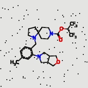 Cc1ccc(CN2CCCC23CCN(C(=O)OC(C(F)(F)F)C(F)(F)F)CC3)c(N2CC3COCC3C2)c1